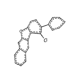 Clc1c(-c2ccccc2)ccc2oc3cc4ccccc4cc3c12